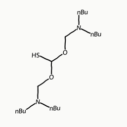 CCCCN(CCCC)COC(S)OCN(CCCC)CCCC